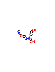 CCN(Cc1ccc(OCCN2CCCCC2)cc1)c1cc(O)ccc1CC1CCc2cc(O)ccc2C1